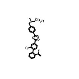 C=C(F)c1ccccc1-c1ccc(-c2nc(-c3ccc(CN(C)CC(=O)O)cc3)no2)cc1Cl